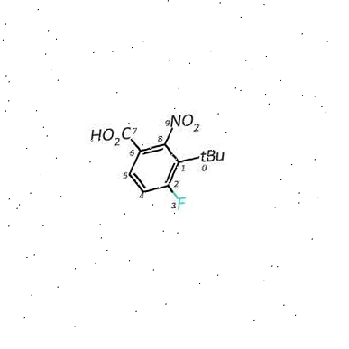 CC(C)(C)c1c(F)ccc(C(=O)O)c1[N+](=O)[O-]